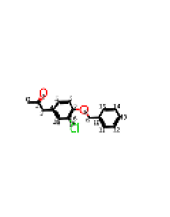 CC(=O)Cc1ccc(OCc2ccccc2)c(Cl)c1